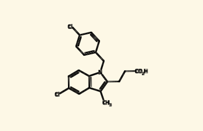 Cc1c(CCC(=O)O)n(Cc2ccc(Cl)cc2)c2ccc(Cl)cc12